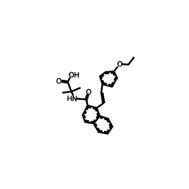 CCOc1ccc(C=Cc2c(C(=O)NC(C)(C)C(=O)O)ccc3ccccc23)cc1